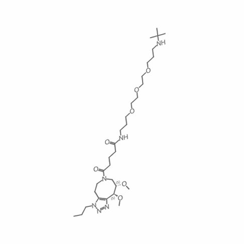 CCCn1nnc2c1CCN(C(=O)CCCC(=O)NCCCOCCOCCOCCCNC(C)(C)C)C[C@H](OC)[C@H]2OC